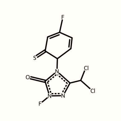 O=c1n(F)nc(C(Cl)Cl)n1C1C=CC(F)=CC1=S